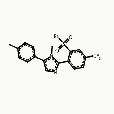 CCS(=O)(=O)c1cc(C(F)(F)F)ccc1-c1ncc(-c2ccc(C)cc2)n1C